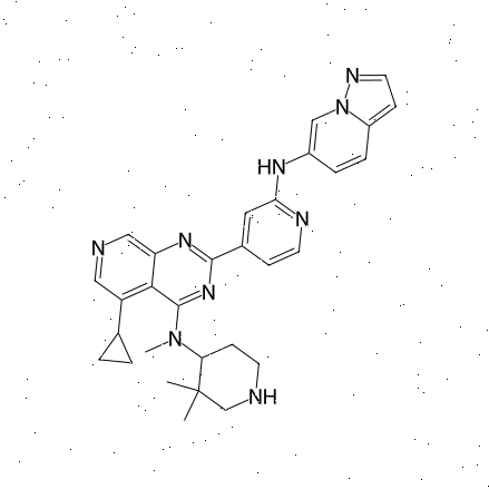 CN(c1nc(-c2ccnc(Nc3ccc4ccnn4c3)c2)nc2cncc(C3CC3)c12)C1CCNCC1(C)C